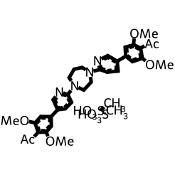 COc1cc(-c2ccc(N3CCCN(c4ccc(-c5cc(OC)c(C(C)=O)c(OC)c5)cn4)CC3)nc2)cc(OC)c1C(C)=O.CS(=O)(=O)O.CS(=O)(=O)O